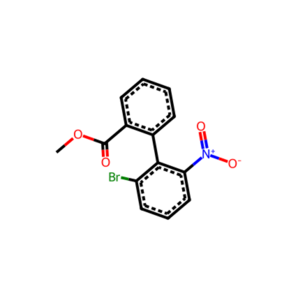 COC(=O)c1ccccc1-c1c(Br)cccc1[N+](=O)[O-]